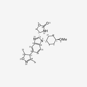 CO[C@H]1CC[C@H](n2c([C@@H]3COC(=O)N3)nc3cc(C4C(C)=NOC4C)ccc32)CC1